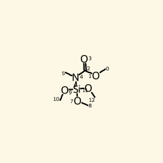 COC(=O)N(C)[Si](OC)(OC)OC